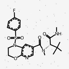 CNC(=O)[C@@H](N(C)C(=O)c1cnc2c(c1)N(S(=O)(=O)c1ccc(F)cc1)CCO2)C(C)(C)C